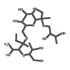 CCC(C)(OCC1OC2C(NCC2(C)OCC(O)C(C)O)C(O)C1O)C(OC(CO)C(C)O)C(N)O